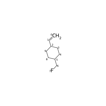 C=CC1CCC(CF)CC1